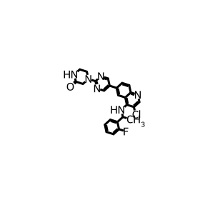 CC(Nc1c(Cl)cnc2ccc(-c3cnc(N4CCNC(=O)C4)nc3)cc12)c1ccccc1F